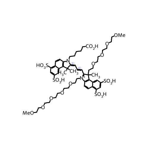 COCCOCCOCCOCCOCC[N+]1=C(/C=C/C=C2/N(CCCCCC(=O)O)c3ccc4c(S(=O)(=O)O)cc(S(=O)(=O)O)cc4c3C2(C)C)C(C)(CCOCCOCCOCCOC)c2c1ccc1c(S(=O)(=O)O)cc(S(=O)(=O)O)cc21